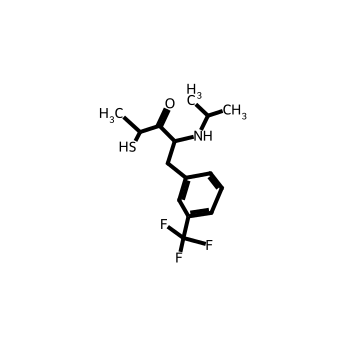 CC(C)NC(Cc1cccc(C(F)(F)F)c1)C(=O)C(C)S